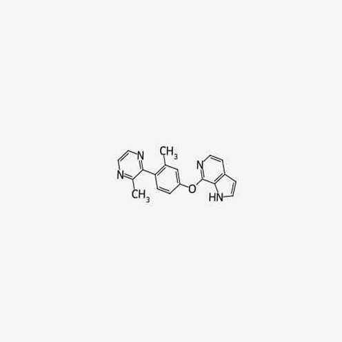 Cc1cc(Oc2nccc3cc[nH]c23)ccc1-c1nccnc1C